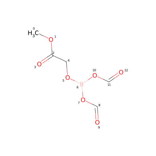 COC(=O)COB(OC=O)OC=O